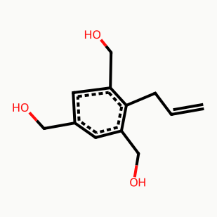 C=CCc1c(CO)cc(CO)cc1CO